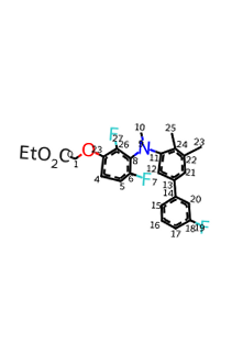 CCOC(=O)COc1ccc(F)c(N(C)c2cc(-c3cccc(F)c3)cc(C)c2C)c1F